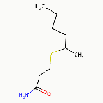 CCC/C=C(/C)SCCC(N)=O